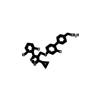 O=C(O)Cc1ccc(-c2ccc(OCc3c(-c4c(Cl)cccc4Cl)noc3C3CC3)cc2Cl)cc1